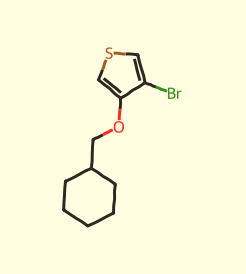 Brc1cscc1OCC1CCCCC1